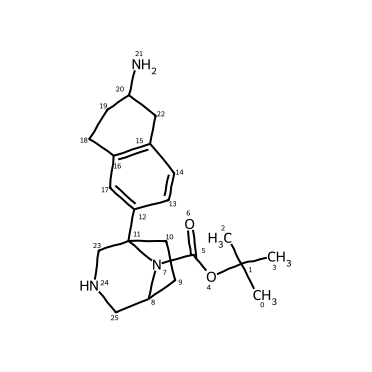 CC(C)(C)OC(=O)N1C2CCC1(c1ccc3c(c1)CCC(N)C3)CNC2